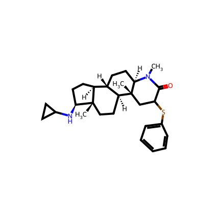 CN1C(=O)C(Sc2ccccc2)C[C@]2(C)[C@H]3CC[C@]4(C)[C@@H](NC5CC5)CC[C@H]4[C@@H]3CC[C@@H]12